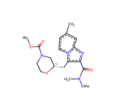 CON(C)C(=O)c1nc2cc(C)ccn2c1C[C@H]1CN(C(=O)OC(C)(C)C)CCO1